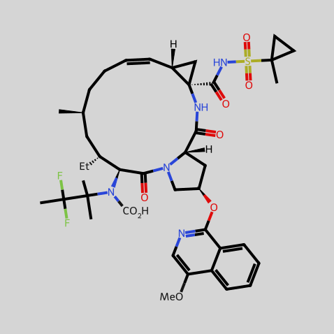 CC[C@@H]1C[C@@H](C)CC/C=C\[C@@H]2C[C@@]2(C(=O)NS(=O)(=O)C2(C)CC2)NC(=O)[C@@H]2C[C@@H](Oc3ncc(OC)c4ccccc34)CN2C(=O)[C@H]1N(C(=O)O)C(C)(C)C(C)(F)F